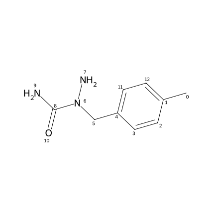 Cc1ccc(CN(N)C(N)=O)cc1